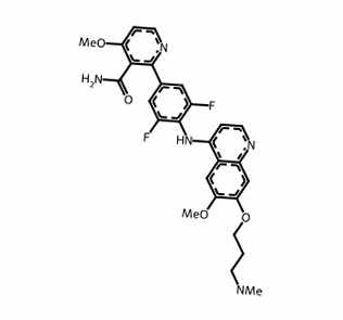 CNCCCOc1cc2nccc(Nc3c(F)cc(-c4nccc(OC)c4C(N)=O)cc3F)c2cc1OC